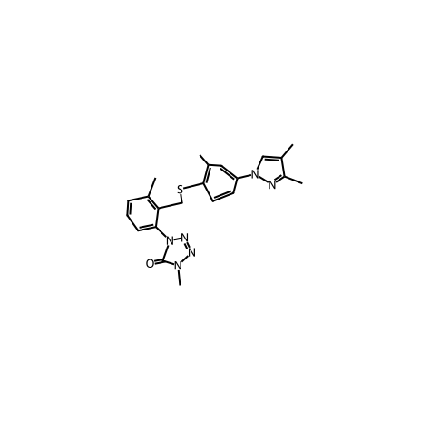 Cc1cc(-n2cc(C)c(C)n2)ccc1SCc1c(C)cccc1-n1nnn(C)c1=O